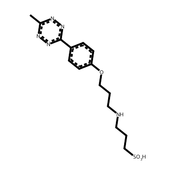 Cc1nnc(-c2ccc(OCCCNCCCS(=O)(=O)O)cc2)nn1